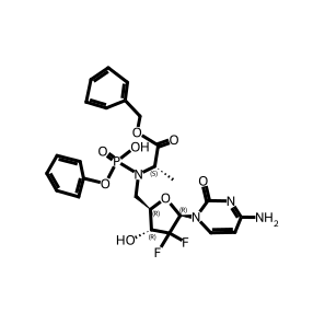 C[C@@H](C(=O)OCc1ccccc1)N(C[C@H]1O[C@@H](n2ccc(N)nc2=O)C(F)(F)[C@@H]1O)P(=O)(O)Oc1ccccc1